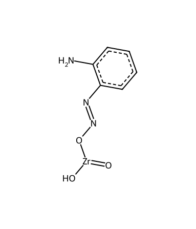 Nc1ccccc1N=N[O][Zr](=[O])[OH]